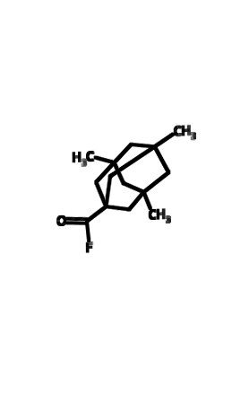 CC12CC3(C)CC(C)(C1)CC(C(=O)F)(C2)C3